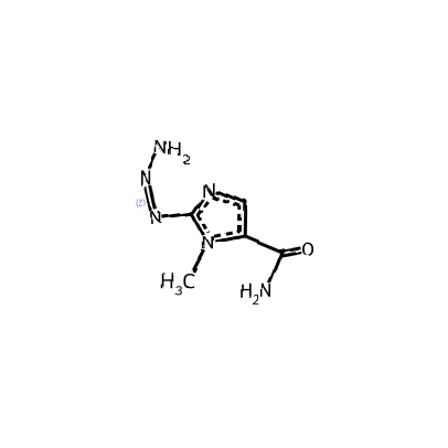 Cn1c(C(N)=O)cnc1/N=N\N